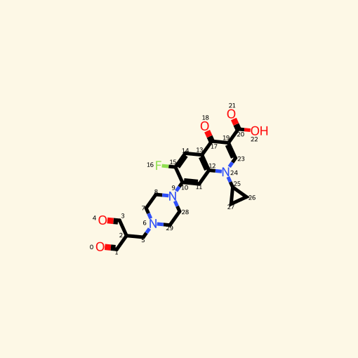 O=CC(C=O)CN1CCN(c2cc3c(cc2F)c(=O)c(C(=O)O)cn3C2CC2)CC1